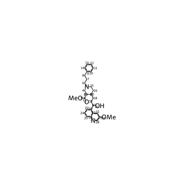 COC(=O)[C@H]1CN(CCCc2ccccc2)CC[C@H]1CCC(O)c1cccc2ncc(OC)cc12